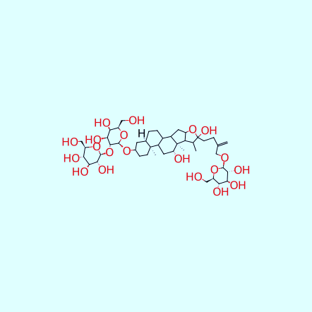 C=C(CCC1(O)OC2CC3C4CC[C@@H]5CC(O[C@@H]6O[C@H](CO)[C@H](O)[C@H](O)[C@H]6O[C@@H]6O[C@H](CO)[C@@H](O)[C@H](O)[C@H]6O)CC[C@]5(C)C4C[C@@H](O)[C@]3(C)C2C1C)CO[C@@H]1O[C@H](CO)[C@@H](O)[C@H](O)[C@H]1O